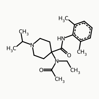 CCN(C(C)=O)C1(C(=O)Nc2c(C)cccc2C)CCN(C(C)C)CC1